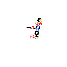 CCCCOC[C@H]1CN(S(=O)(=O)c2cccs2)CCN1c1ccc([C@](C)(O)C(F)(F)F)cc1